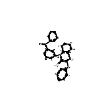 O=C(c1ccccc1)c1cccc(-n2c(=O)c(Cc3ccccc3)nc3cccnc32)c1